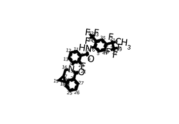 CC(F)(c1ccc(NC(=O)c2cccc(N(CC3CC3)C(=O)c3ccccc3)c2F)c(C(F)(F)F)c1)C(F)(F)F